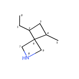 CCC1CC(C)C12CNC2